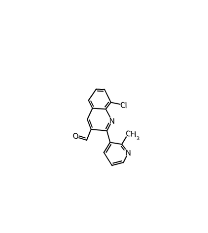 Cc1ncccc1-c1nc2c(Cl)cccc2cc1C=O